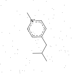 CC(C)Cc1cc[n+](C)cc1